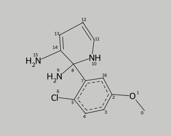 COc1ccc(Cl)c(C2(N)NC=CC=C2N)c1